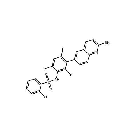 Cc1cc(F)c(-c2ccc3nc(N)ncc3c2)c(F)c1NS(=O)(=O)c1ccccc1Cl